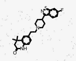 CC1(C)CC(=O)Nc2ccc(CCN3CCC(c4nsc5cc(F)ccc45)CC3)cc21